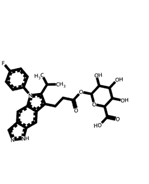 CC(C)c1c(CCC(=O)OC2OC(C(=O)O)C(O)C(O)C2O)c2cc3[nH]ncc3cc2n1-c1ccc(F)cc1